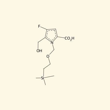 C[Si](C)(C)CCOCn1c(C(=O)O)cc(F)c1CO